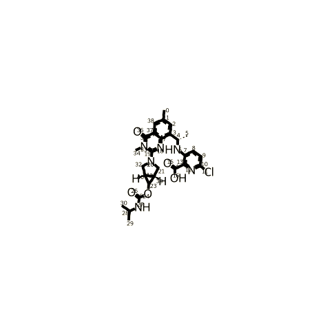 Cc1cc([C@H](C)Nc2ccc(Cl)nc2C(=O)O)c2nc(N3C[C@@H]4C(OC(=O)NC(C)C)[C@@H]4C3)n(C)c(=O)c2c1